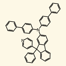 c1ccc(-c2ccc(N(c3ccc(-c4ccccc4)cc3)c3ccc4c(c3)C(c3ccccc3)(c3ccncc3)c3ccccc3-4)cc2)cc1